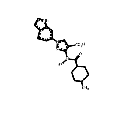 CC1CCC(C(=O)N(c2nn(-c3ccc4cc[nH]c4c3)cc2C(=O)O)C(C)C)CC1